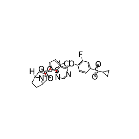 Cc1c(Oc2ccc(S(=O)(=O)C3CC3)cc2F)ncnc1O[C@H]1CC2CC[C@@H](C1)N2S(=O)(=O)c1ccc(Cl)s1